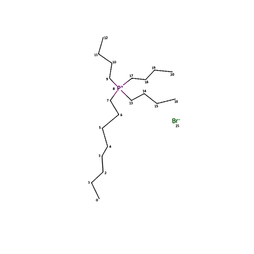 CCCCCCCC[P+](CCCC)(CCCC)CCCC.[Br-]